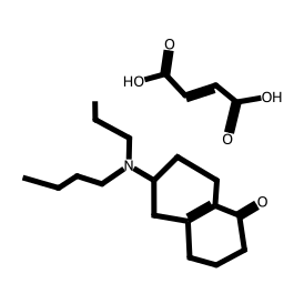 CCCCN(CCC)C1CCC2=C(CCCC2=O)C1.O=C(O)C=CC(=O)O